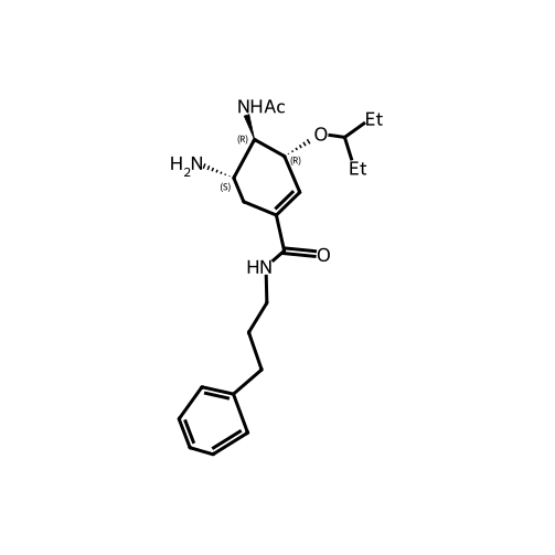 CCC(CC)O[C@@H]1C=C(C(=O)NCCCc2ccccc2)C[C@H](N)[C@H]1NC(C)=O